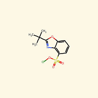 CC(C)(C)c1nc2c(S(=O)(=O)OCl)cccc2o1